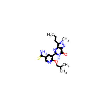 CCCc1c2nc(-c3cc(C(N)=S)cnc3OCC(C)C)[nH]c(=O)c2nn1C